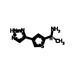 C[C@@H](N)c1cc(-c2cn[nH]n2)cs1